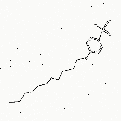 CCCCCCCCCCCOc1ccc(S(=O)(=O)Cl)cc1